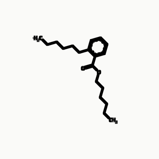 [CH2]CCCCCc1ccccc1C(=O)OCCCCCC